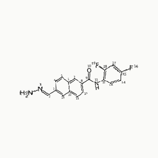 NN=Cc1ccc2cc(C(=O)Nc3ccc(F)cc3F)ccc2c1